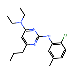 CCCc1cc(N(CC)CC)nc(Nc2cc(C)ccc2Cl)n1